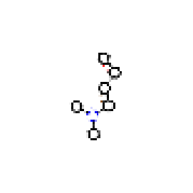 c1ccc(-c2nc(-c3ccccc3)nc(-c3cccc4c3sc3ccc(-c5cccc6c5oc5ccccc56)cc34)n2)cc1